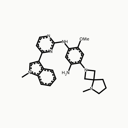 COc1cc(N2CC3(CCCN3C)C2)c(N)cc1Nc1nccc(-c2cn(C)c3ccccc23)n1